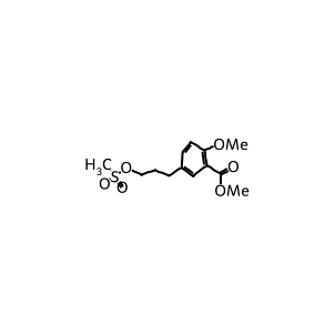 COC(=O)c1cc(CCCOS(C)(=O)=O)ccc1OC